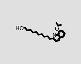 CC(C)Oc1cccc2ccc(CCCCCCCCCCO)nc12